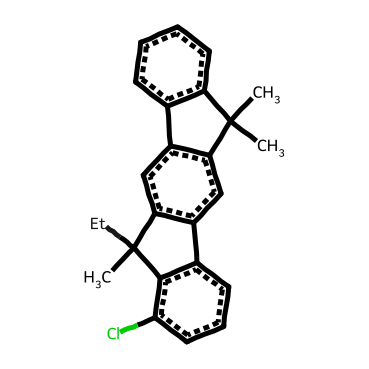 CCC1(C)c2cc3c(cc2-c2cccc(Cl)c21)C(C)(C)c1ccccc1-3